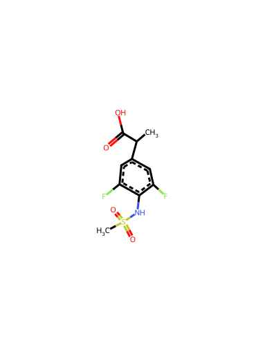 CC(C(=O)O)c1cc(F)c(NS(C)(=O)=O)c(F)c1